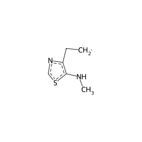 [CH2]Cc1ncsc1NC